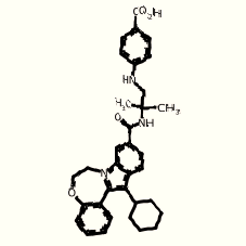 CC(C)(CNc1ccc(C(=O)O)cc1)NC(=O)c1ccc2c(C3CCCCC3)c3n(c2c1)CCOc1ccccc1-3